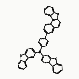 c1ccc2c(c1)oc1ccc(N(c3ccc(-c4ccc5c(ccc6oc7ccccc7c65)c4)cc3)c3ccc4c(c3)sc3ccccc34)cc12